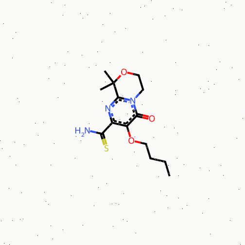 CCCCOc1c(C(N)=S)nc2n(c1=O)CCOC2(C)C